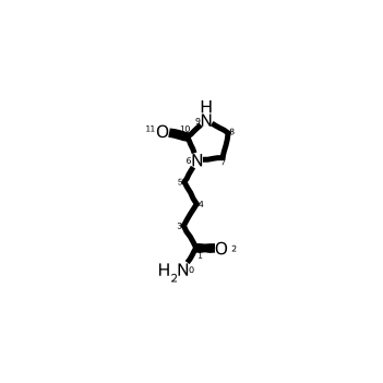 NC(=O)CCCN1CCNC1=O